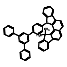 CC1(C)c2ccccc2-c2ccc3ccc4c5ccccc5n(-c5ccc(-c6cc(-c7ccccc7)cc(-c7ccccc7)c6)cc5)c4c3c21